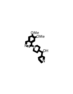 COc1cc2cnnc(N3CCC(C(O)c4cccnc4)CC3)c2cc1OC